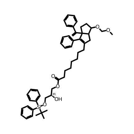 C=C(c1ccccc1)C12CCC(OCOC)C1CC(CCCCCCCC(=O)OC[C@@H](O)CO[Si](c1ccccc1)(c1ccccc1)C(C)(C)C)=C2c1ccccc1